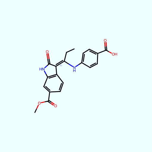 CC/C(Nc1ccc(C(=O)O)cc1)=C1\C(=O)Nc2cc(C(=O)OC)ccc21